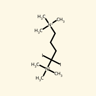 C[N+](C)(C)CCCC(I)(I)[N+](C)(C)C